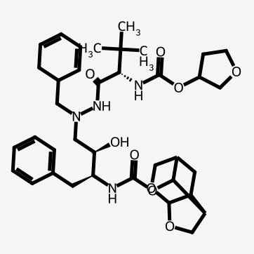 CC(C)(C)[C@H](NC(=O)OC1CCOC1)C(=O)NN(CC1C=CC=CC1)C[C@@H](O)[C@H](Cc1ccccc1)NC(=O)OC1C2COC3OCC1C3C2